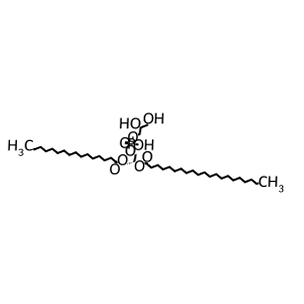 CCCCCCCCCCCCCCCCCCCCC(=O)O[C@H](COC(=O)CCCCCCCCCCCCCCC)COP(=O)(O)OC[C@@H](O)CO